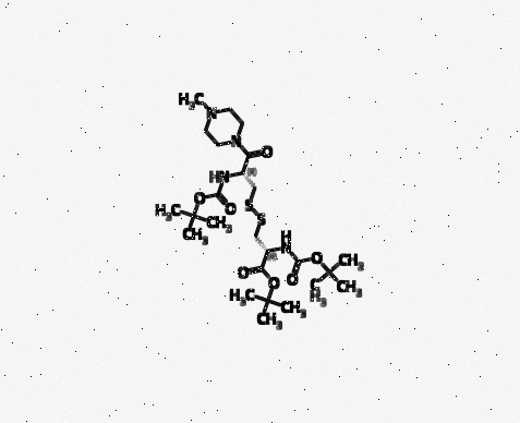 CN1CCN(C(=O)[C@H](CSSC[C@H](NC(=O)OC(C)(C)C)C(=O)OC(C)(C)C)NC(=O)OC(C)(C)C)CC1